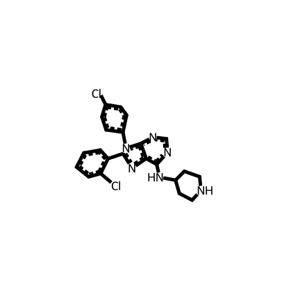 Clc1ccc(-n2c(-c3ccccc3Cl)nc3c(NC4CCNCC4)ncnc32)cc1